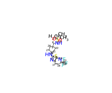 CC(C)(C)S(=O)(=O)NC[C@H]1CC[C@H](Nc2nc3ccc(C(F)(F)F)nc3s2)CC1